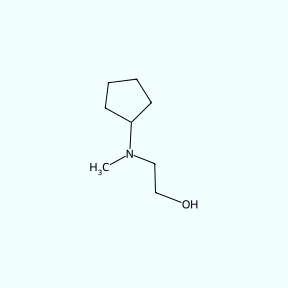 CN(CCO)C1CCCC1